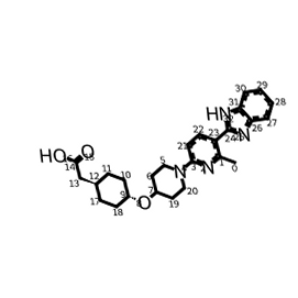 Cc1nc(N2CCC(O[C@H]3CC[C@H](CC(=O)O)CC3)CC2)ccc1-c1nc2ccccc2[nH]1